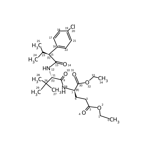 CCOC(=O)CC[C@@H](NC(=O)[C@@H](NC(=O)[C@H](c1ccc(Cl)cc1)C(C)C)C(C)(C)C)C(=O)OCC